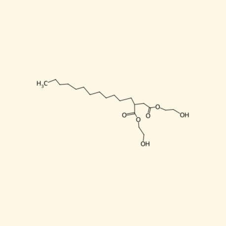 CCCCCCCCCCCCC(CC(=O)OCCO)C(=O)OCCO